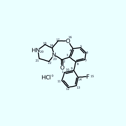 Cl.O=C1c2c(cccc2-c2ccccc2F)OCC2CNCCN12